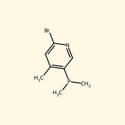 Cc1cc(Br)ncc1P(C)C